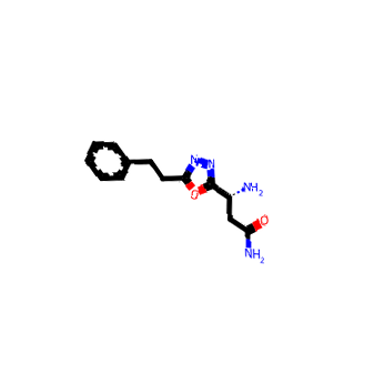 NC(=O)C[C@@H](N)c1nnc(CCc2ccccc2)o1